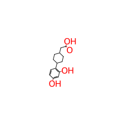 O=C(O)CC1CCC(c2ccc(O)cc2O)CC1